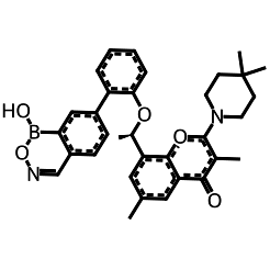 Cc1cc([C@@H](C)Oc2ccccc2-c2ccc3c(c2)B(O)ON=C3)c2oc(N3CCC(C)(C)CC3)c(C)c(=O)c2c1